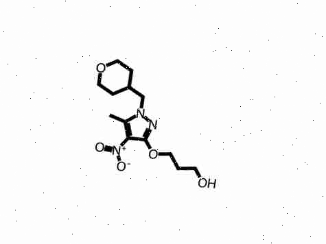 Cc1c([N+](=O)[O-])c(OCCCO)nn1CC1CCOCC1